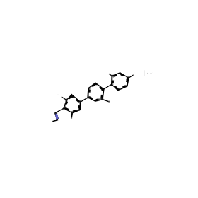 CCCCCCCc1ccc(-c2ccc(-c3cc(F)c(/C=C/C(F)(F)F)c(F)c3)cc2F)c(F)c1